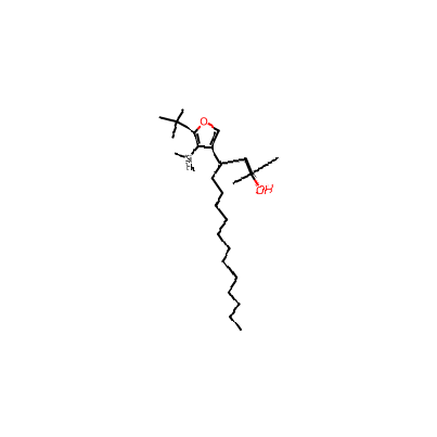 CCCCCCCCCCCCC(CC(C)(C)O)c1coc(C(C)(C)C)c1[SiH](C)C